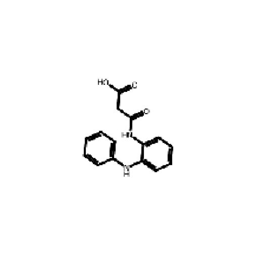 O=C(O)CC(=O)Nc1ccccc1Nc1ccccc1